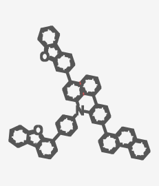 c1ccc(-c2ccc(-c3cccc4c3ccc3ccccc34)cc2N(c2ccc(-c3ccc4c(c3)oc3ccccc34)cc2)c2ccc(-c3cccc4c3oc3ccccc34)cc2)cc1